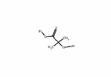 CCCOC(C)(C)C(=O)OCC